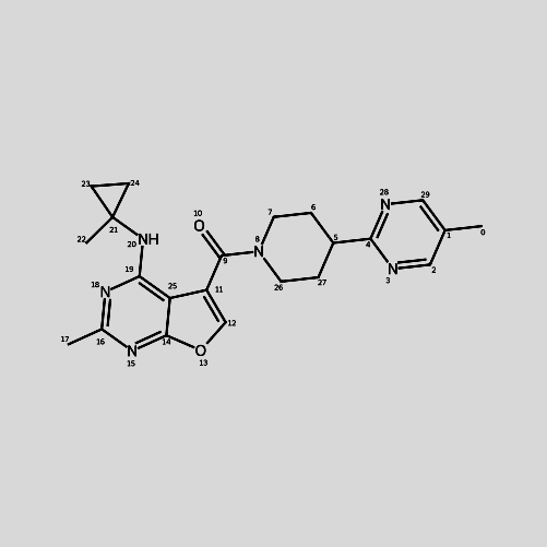 Cc1cnc(C2CCN(C(=O)c3coc4nc(C)nc(NC5(C)CC5)c34)CC2)nc1